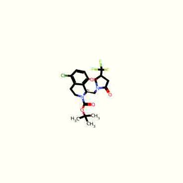 CC(C)(C)OC(=O)N1CCc2c(Cl)ccc(O)c2[C@H]1CN1CC(C(F)(F)F)CC1=O